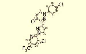 O=c1ccn(-c2ccc(Cl)cc2)nc1-c1ccn(-c2ncc(C(F)(F)F)cc2Cl)n1